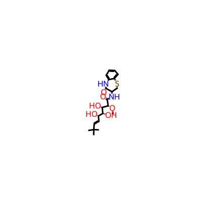 CO[C@@H](C(=O)NC1CSc2ccccc2NC1=O)[C@H](O)[C@@H](O)[C@H](O)C=CC(C)(C)C